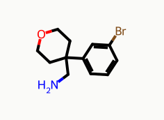 NCC1(c2cccc(Br)c2)CCOCC1